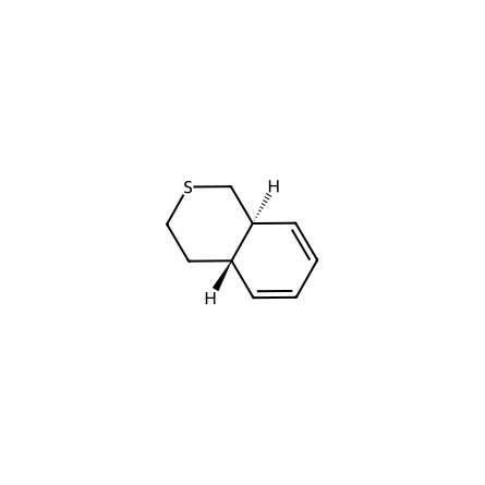 C1=C[C@@H]2CCSC[C@H]2C=C1